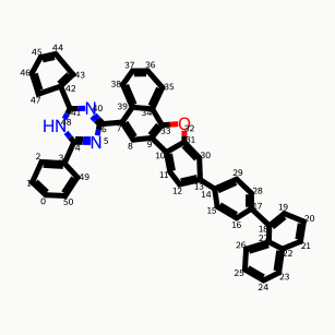 c1ccc(C2=NC(c3cc4c5ccc(-c6ccc(-c7cccc8ccccc78)cc6)cc5oc4c4ccccc34)=NC(c3ccccc3)N2)cc1